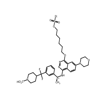 CCS(=O)(=O)OCCCCCCOc1nnc(N[C@@H](C)c2cccc(C(F)(F)C3CCN(C(=O)O)CC3)c2)c2ccc(N3CCOCC3)cc12